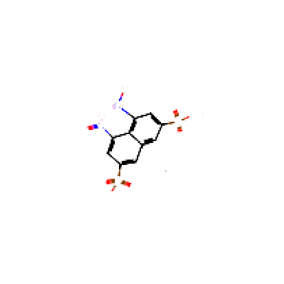 O=[N+]([O-])c1cc(S(=O)(=O)O)cc2cc(S(=O)(=O)O)cc([N+](=O)[O-])c12.[NaH]